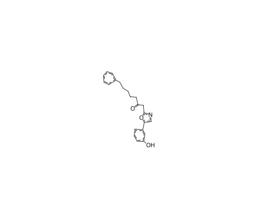 O=C(CCCCCc1ccccc1)Cc1ncc(-c2cccc(O)c2)o1